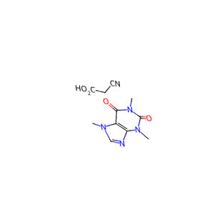 Cn1c(=O)c2c(ncn2C)n(C)c1=O.N#CCC(=O)O